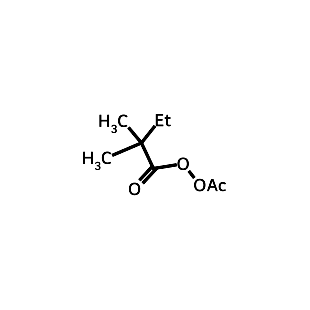 CCC(C)(C)C(=O)OOC(C)=O